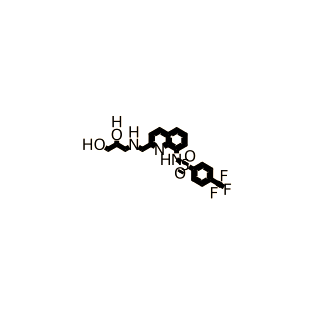 O=S(=O)(Nc1cccc2ccc(CNCC(O)CO)nc12)c1ccc(C(F)(F)F)cc1